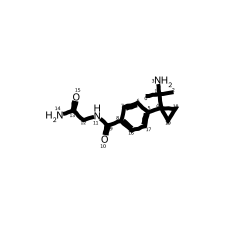 CC(C)(N)C1(c2ccc(C(=O)NCC(N)=O)cc2)CC1